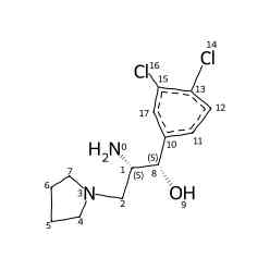 N[C@@H](CN1CCCC1)[C@@H](O)c1ccc(Cl)c(Cl)c1